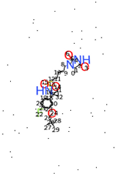 CC1C(=O)NC(=O)N1C/C=C/CCS(=O)(=O)NC1(c2ccc(F)c(OCC(C)(C)C)c2)CC1